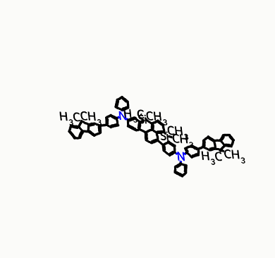 CC1(C)c2ccccc2-c2ccc(-c3ccc(N(c4ccccc4)c4ccc5c(c4)[Si](C)(C)c4ccc6c7c(ccc-5c47)-c4ccc(N(c5ccccc5)c5ccc(-c7ccc8c(c7)C(C)(C)c7ccccc7-8)cc5)cc4[Si]6(C)C)cc3)cc21